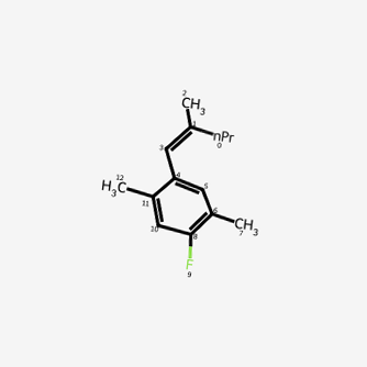 CCC/C(C)=C\c1cc(C)c(F)cc1C